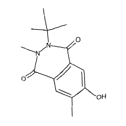 Cc1cc2c(=O)n(C)n(C(C)(C)C)c(=O)c2cc1O